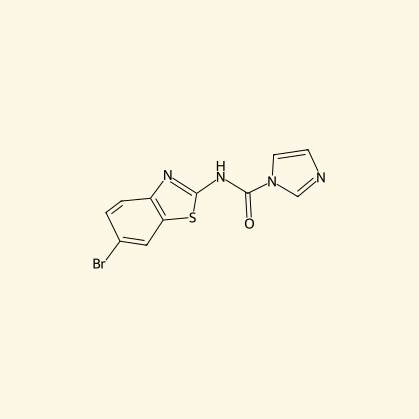 O=C(Nc1nc2ccc(Br)cc2s1)n1ccnc1